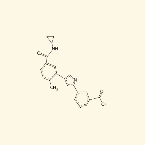 Cc1ccc(C(=O)NC2CC2)cc1-c1cnn(-c2cncc(C(=O)O)c2)c1